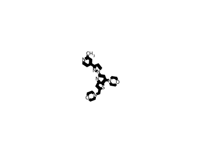 Cc1cc(-c2ccn(-c3cc(N4CCOCC4)c4sc(CN5CCOCC5)cc4n3)n2)ccn1